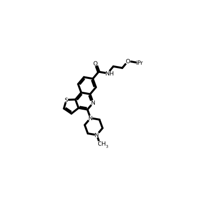 CC(C)OCCNC(=O)c1ccc2c(c1)nc(N1CCN(C)CC1)c1ccsc12